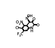 O=C1Nc2cc(C(F)(F)F)c(Cl)c([N+](=O)[O-])c2C(=NO)C1=O